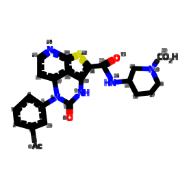 CC(=O)c1cccc(N2C(=O)Nc3c(C(=O)NC4CCCN(C(=O)O)C4)sc4nccc2c34)c1